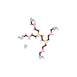 CCOCCP(CCOCC)CCP(CCOCC)CCOCC.[Tc]